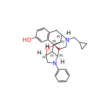 Oc1ccc2c(c1)[C@]13CCN(CC4CC4)[C@H](C2)[C@]12CC[C@@H]1[C@H]3[C@@H](CN1c1ccccc1)O2